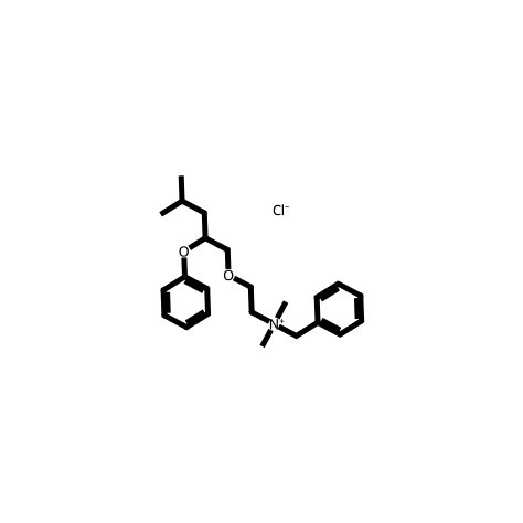 CC(C)CC(COCC[N+](C)(C)Cc1ccccc1)Oc1ccccc1.[Cl-]